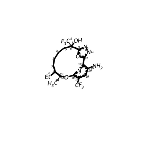 CCC1CCCC[C@](O)(C(F)(F)F)c2nnc(o2)-c2nc(c(C(F)(F)F)cc2N)O[C@@H]1C